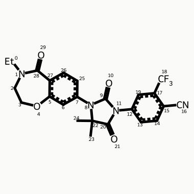 CCN1CCOc2cc(N3C(=O)N(c4ccc(C#N)c(C(F)(F)F)c4)C(=O)C3(C)C)ccc2C1=O